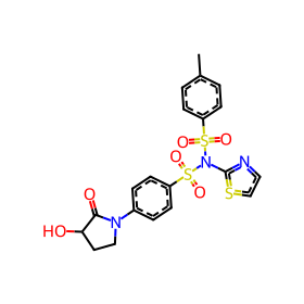 Cc1ccc(S(=O)(=O)N(c2nccs2)S(=O)(=O)c2ccc(N3CCC(O)C3=O)cc2)cc1